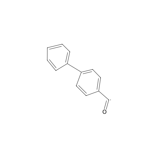 O=[C]c1ccc(-c2ccccc2)cc1